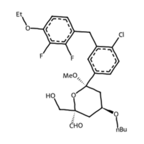 CCCCO[C@H]1C[C@@](C=O)(CO)O[C@@](OC)(c2ccc(Cl)c(Cc3ccc(OCC)c(F)c3F)c2)C1